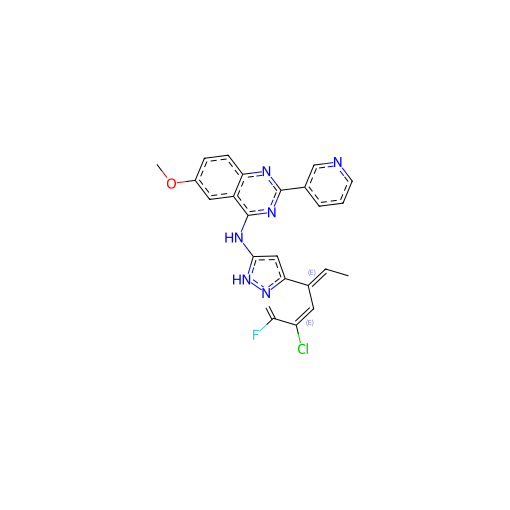 C=C(F)/C(Cl)=C\C(=C/C)c1cc(Nc2nc(-c3cccnc3)nc3ccc(OC)cc23)[nH]n1